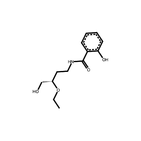 CCO[C@H](CO)CCNC(=O)c1ccccc1O